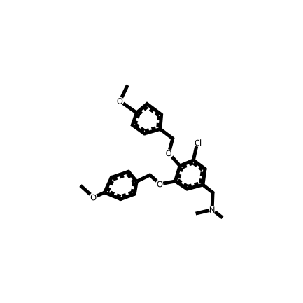 COc1ccc(COc2cc(CN(C)C)cc(Cl)c2OCc2ccc(OC)cc2)cc1